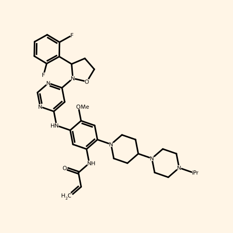 C=CC(=O)Nc1cc(Nc2cc(N3OCCC3c3c(F)cccc3F)ncn2)c(OC)cc1N1CCC(N2CCN(C(C)C)CC2)CC1